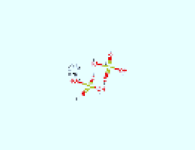 O=S(=O)(O)O.O=S(=O)(O)O.[Ni].[SnH2]